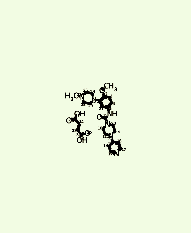 COc1ccc(NC(=O)N2CCN(c3ccncc3)CC2)cc1N1CCN(C)CC1.O=C(O)/C=C/C(=O)O